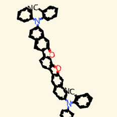 N#Cc1ccccc1N(c1ccccc1)c1ccc2cc3c(cc2c1)oc1c3ccc2c3cc4ccc(N(c5ccccc5)c5ccccc5C#N)cc4cc3oc21